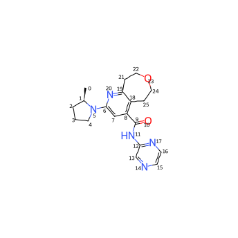 C[C@@H]1CCCN1c1cc(C(=O)Nc2cnccn2)c2c(n1)CCOCC2